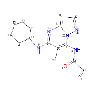 C=CC(=O)Nc1c(C)c(NC2CCCCC2)nc2ccnn12